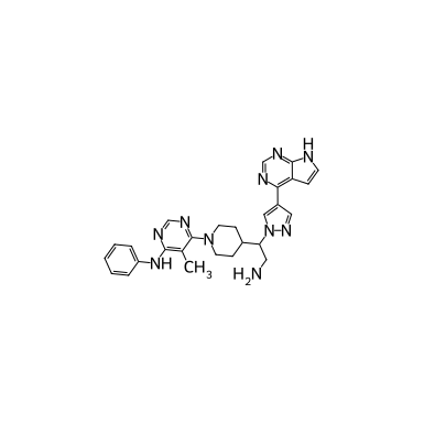 Cc1c(Nc2ccccc2)ncnc1N1CCC(C(CN)n2cc(-c3ncnc4[nH]ccc34)cn2)CC1